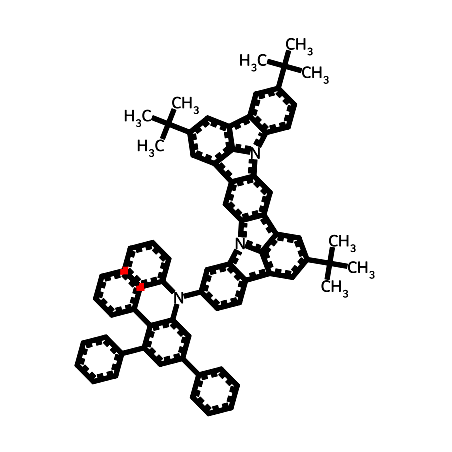 CC(C)(C)c1ccc2c(c1)c1cc(C(C)(C)C)cc3c4cc5c(cc4n2c13)c1cc(C(C)(C)C)cc2c3ccc(N(c4ccccc4)c4cc(-c6ccccc6)cc(-c6ccccc6)c4-c4ccccc4)cc3n5c21